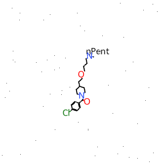 CCCCCN(C)CCCCOCCC1CCN(C(=O)c2ccc(Cl)cc2)CC1